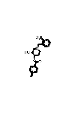 Cc1ccc(C(=O)OC2CCN(Cc3ccccc3[N+](=O)[O-])CC2)cc1.Cl